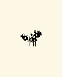 CCC1(O)CCC(Nc2nc(OC)c3c(-c4cc(F)c5nccn5c4)c[nH]c3n2)CC1